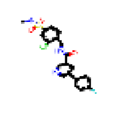 CNS(=O)(=O)c1ccc(CNC(=O)c2cncc(-c3ccc(F)cc3)c2)c(Cl)c1